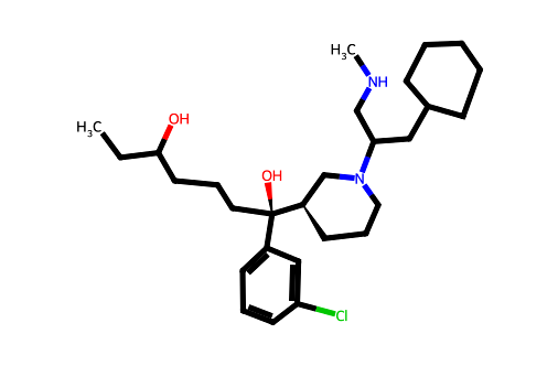 CCC(O)CCC[C@@](O)(c1cccc(Cl)c1)[C@@H]1CCCN(C(CNC)CC2CCCCC2)C1